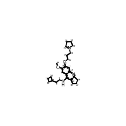 COc1cc2c(NCCC3CCC3)c3c(nc2cc1OCCCN1CCCC1)CCC3